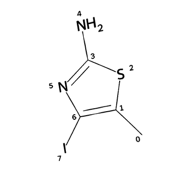 Cc1sc(N)nc1I